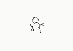 CCOC(=O)c1ccccc1.O=CCl